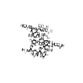 CC(C)C[C@H](NC(=O)[C@H](CCC(=O)O)NC(=O)[C@@H]1CCCN1C(=O)[C@@H](N)CCC(N)=O)C(=O)N[C@@H](C)C(=O)N1CCC[C@H]1C(=O)N[C@@H](CCC(=O)O)C(=O)N[C@@H](CC(=O)O)C(=O)O